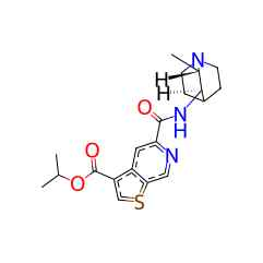 CC(C)OC(=O)c1csc2cnc(C(=O)N[C@@H]3C4CCN(CC4)[C@H]3C)cc12